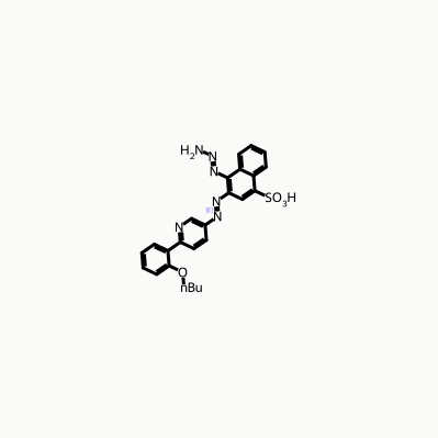 CCCCOc1ccccc1-c1ccc(/N=N/c2cc(S(=O)(=O)O)c3ccccc3c2N=NN)cn1